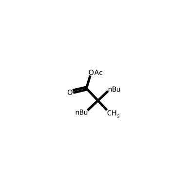 CCCCC(C)(CCCC)C(=O)OC(C)=O